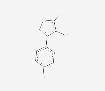 CSc1scc(-c2ccc(Cl)cc2)c1C#N